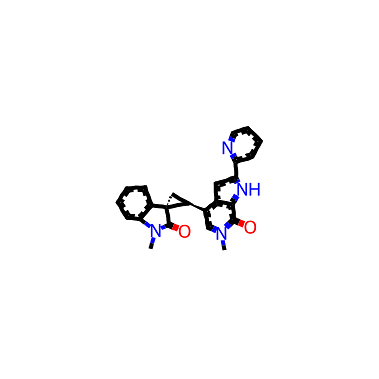 CN1C(=O)[C@@]2(C[C@H]2c2cn(C)c(=O)c3[nH]c(-c4ccccn4)cc23)c2ccccc21